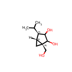 CC(C)[C@H]1C(O)C(O)[C@]2(CO)C[C@H]12